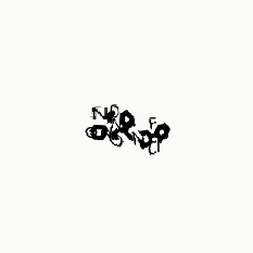 CN(C)C(=O)Cn1c(C(=O)N2CCOCC2)c(CN2CCC(c3c(F)cccc3Cl)CC2)c2ccccc21